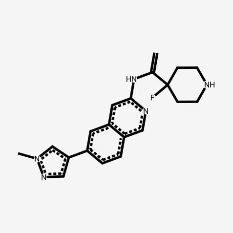 C=C(Nc1cc2cc(-c3cnn(C)c3)ccc2cn1)C1(F)CCNCC1